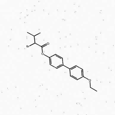 CCOc1ccc(-c2ccc(OC(=O)C(Br)C(C)C)cc2)cc1